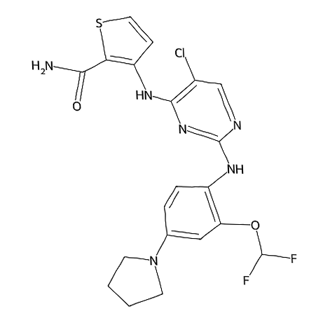 NC(=O)c1sccc1Nc1nc(Nc2ccc(N3CCCC3)cc2OC(F)F)ncc1Cl